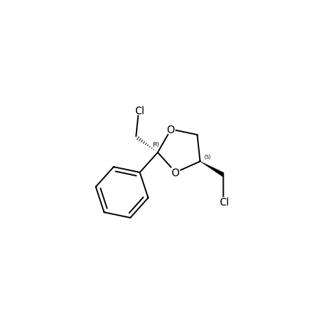 ClC[C@@H]1CO[C@](CCl)(c2ccccc2)O1